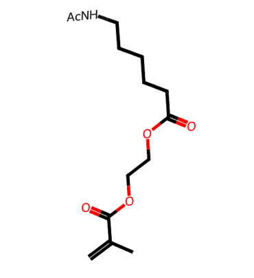 C=C(C)C(=O)OCCOC(=O)CCCCCNC(C)=O